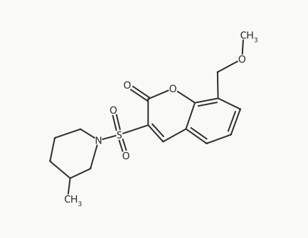 COCc1cccc2cc(S(=O)(=O)N3CCCC(C)C3)c(=O)oc12